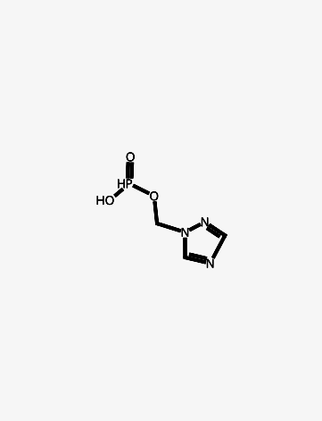 O=[PH](O)OCn1cncn1